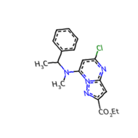 CCOC(=O)c1cc2nc(Cl)cc(N(C)C(C)c3ccccc3)n2n1